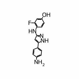 Nc1ccc(-c2cc(Nc3ccc(O)cc3F)n[nH]2)cc1